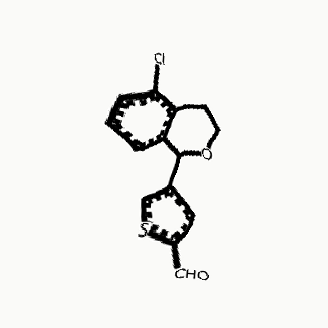 O=Cc1cc(C2OCCc3c(Cl)cccc32)cs1